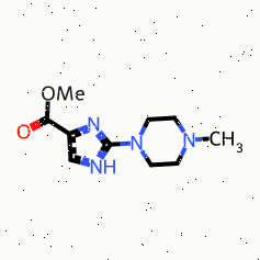 COC(=O)c1c[nH]c(N2CCN(C)CC2)n1